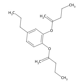 C=C(CCC)Oc1ccc(CCC)cc1OC(=C)CCC